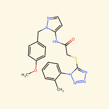 COc1ccc(Cn2nccc2NC(=O)CSc2nnnn2-c2ccccc2C)cc1